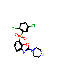 O=S(=O)(c1cc(Cl)ccc1Cl)c1cccc2nc(N3CCNCC3)oc12